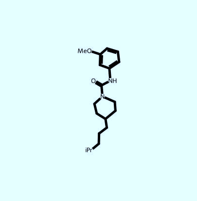 COc1cccc(NC(=O)N2CCC(CCCC(C)C)CC2)c1